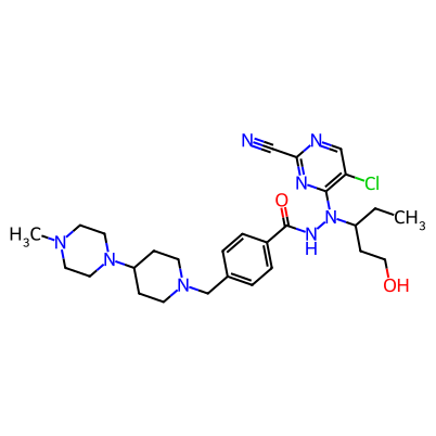 CCC(CCO)N(NC(=O)c1ccc(CN2CCC(N3CCN(C)CC3)CC2)cc1)c1nc(C#N)ncc1Cl